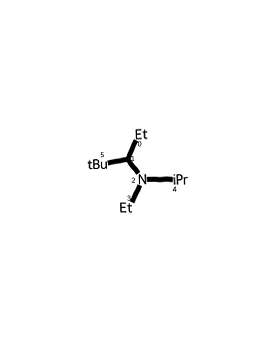 CCC(N(CC)C(C)C)C(C)(C)C